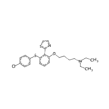 CCN(CC)CCCCOc1cccc(Sc2ccc(Cl)cc2)c1-c1nccs1